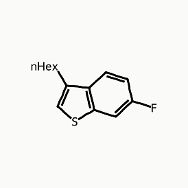 [CH2]CCCCCc1csc2cc(F)ccc12